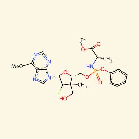 COc1ncnc2c1ncn2[C@@H]1O[C@H](COP(=O)(N[C@@H](C)C(=O)OC(C)C)Oc2ccccc2)C(C)(CO)C1F